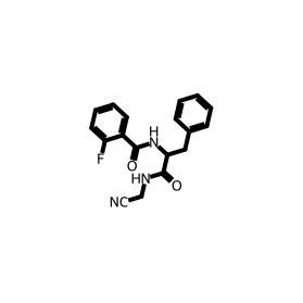 N#CCNC(=O)C(Cc1ccccc1)NC(=O)c1ccccc1F